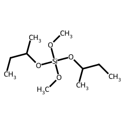 CCC(C)O[Si](OC)(OC)OC(C)CC